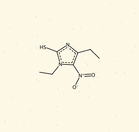 CCc1nc(S)n(CC)c1[N+](=O)[O-]